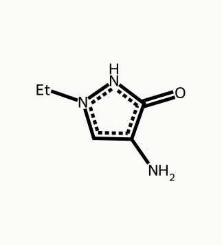 CCn1cc(N)c(=O)[nH]1